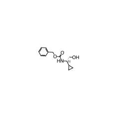 O=C(N[C@H](CO)C1CC1)OCc1ccccc1